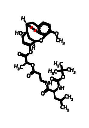 COc1ccc2c3c1O[C@@H]1C[C@@](O)(CC=C1OC(=O)[C@H](C)OC(=O)CCNC(=O)[C@H](CC(C)C)NC(=O)OC(C)(C)C)[C@H](CCCC3)C2